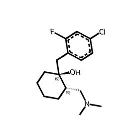 CN(C)C[C@@H]1CCCC[C@]1(O)Cc1ccc(Cl)cc1F